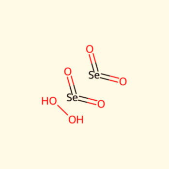 O=[Se]=O.O=[Se]=O.OO